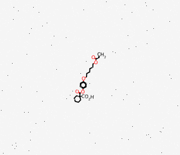 C=CC(=O)OCCCCCCOc1ccc(OC(=O)C2(C(=O)O)CCCCC2)cc1